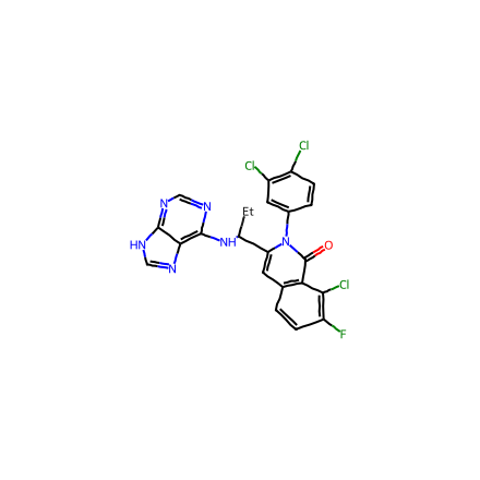 CCC(Nc1ncnc2[nH]cnc12)c1cc2ccc(F)c(Cl)c2c(=O)n1-c1ccc(Cl)c(Cl)c1